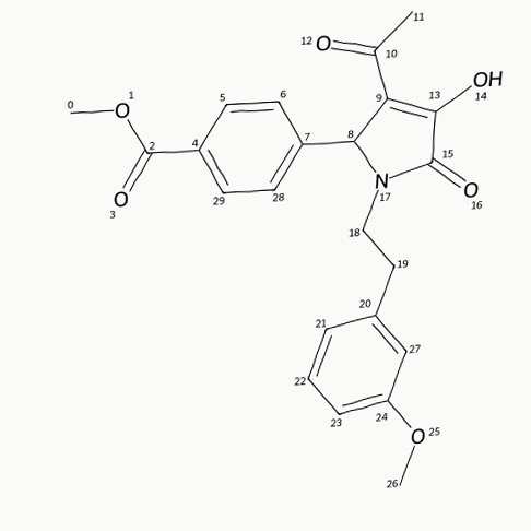 COC(=O)c1ccc(C2C(C(C)=O)=C(O)C(=O)N2CCc2cccc(OC)c2)cc1